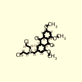 COc1cc(OC)c2c(c1)C(=O)c1cc(CN(CCCl)CCCl)cc(OC)c1C2=O